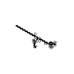 CCCCCCCCCCCCCCCC(=O)OCC(COP(=O)([O-])OCC[N+](C)(C)C)OC(=O)CCCCCNc1ccc([N+](=O)[O-])c2nonc12